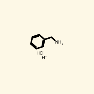 Cl.NCc1ccccc1.[H+]